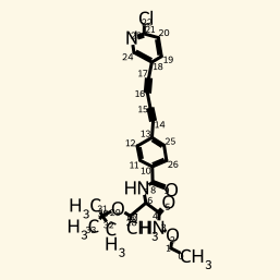 CCONC(=O)C(NC(=O)c1ccc(C#CC#Cc2ccc(Cl)nc2)cc1)[C@@H](C)OC(C)(C)C